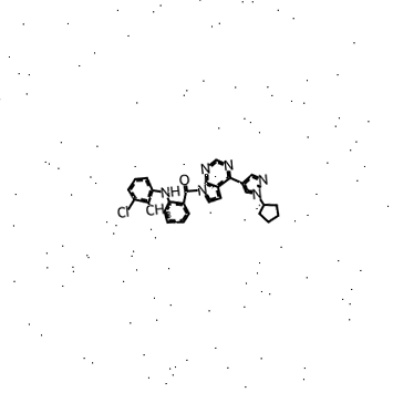 Cc1c(Cl)cccc1Nc1ccccc1C(=O)n1ccc2c(-c3cnn([C]4CCCC4)c3)ncnc21